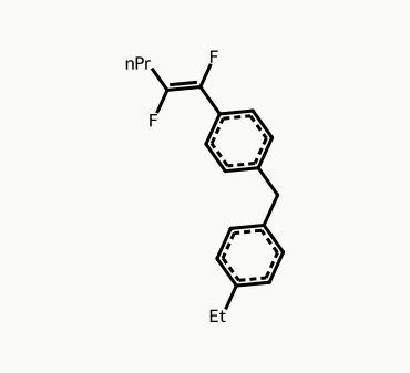 CCC/C(F)=C(\F)c1ccc(Cc2ccc(CC)cc2)cc1